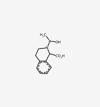 CB(O)N1CCc2ccccc2C1C(=O)O